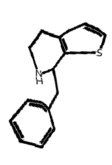 c1ccc(CC2NCCc3ccsc32)cc1